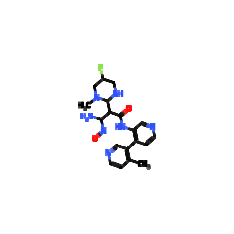 Cc1ccncc1-c1ccncc1NC(=O)C(C(N)N=O)C1NCC(F)CN1C